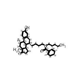 CCCCCN(CCCC[C@@H]1Cc2cc(O)ccc2C2C1C1CCC(=O)[C@@]1(C)C[C@@H]2F)C(=O)c1ccccc1